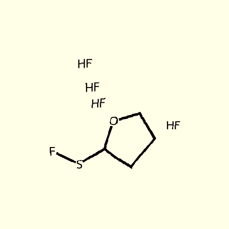 F.F.F.F.FSC1CCCO1